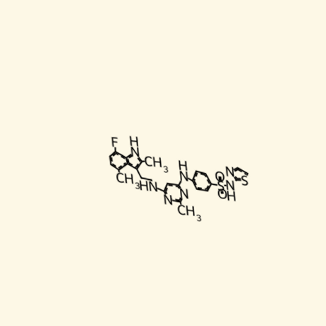 Cc1nc(NCCc2c(C)[nH]c3c(F)ccc(C)c23)cc(Nc2ccc(S(=O)(=O)Nc3nccs3)cc2)n1